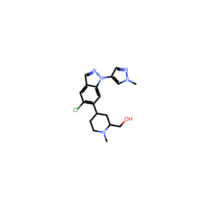 CN1CCC(c2cc3c(cnn3-c3cnn(C)c3)cc2Cl)CC1CO